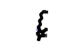 C=c1[nH]c(=O)/c(=C\CCCCC(C)(C)C)s1